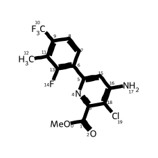 COC(=O)c1nc(-c2ccc(C(F)(F)F)c(C)c2F)cc(N)c1Cl